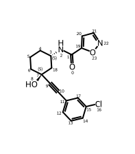 O=C(N[C@H]1CCC[C@@](O)(C#Cc2cccc(Cl)c2)C1)c1ccno1